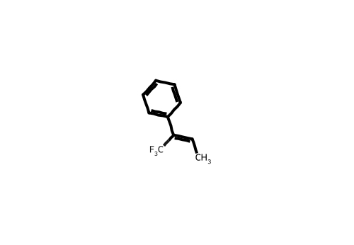 CC=C(c1ccccc1)C(F)(F)F